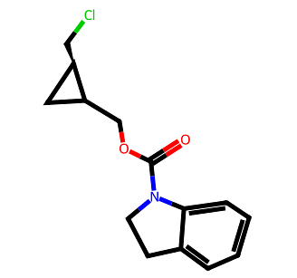 O=C(OCC1C[C@H]1CCl)N1CCc2ccccc21